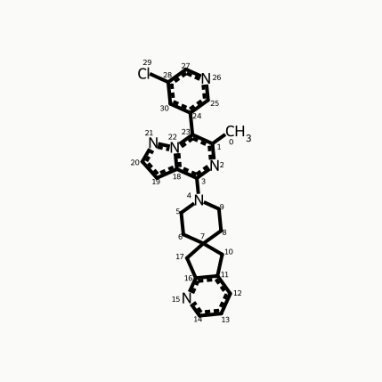 Cc1nc(N2CCC3(CC2)Cc2cccnc2C3)c2ccnn2c1-c1cncc(Cl)c1